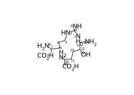 N=C(N)NCCCC(N)C(=O)O.NCC(O)CCC(N)C(=O)O